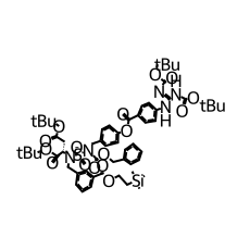 CC(C)(C)OC(=O)C[C@@H](C(=O)OC(C)(C)C)N(Cc1cccc(C(=O)OCC[Si](C)(C)C)c1)S(=O)(=O)N(Cc1ccc(OC(=O)c2ccc(NC(=NC(=O)OC(C)(C)C)NC(=O)OC(C)(C)C)cc2)cc1)C(=O)OCc1ccccc1